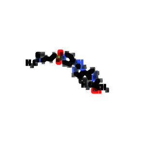 CN(C)CCCCS(=O)(=O)N1CCC(Nc2ncc(C(F)(F)F)c(-c3cnn(CC(C)(C)O)c3)n2)CC1